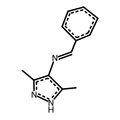 Cc1n[nH]c(C)c1/N=C/c1ccccc1